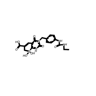 CCNC(=O)Nc1ccc(Cn2c(=O)[nH]c3c(c2=O)C=C(C(=O)O)CS3(O)O)cc1